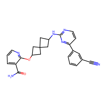 N#Cc1cccc(-c2ccnc(NC3CC4(C3)CC(Oc3ncccc3C(N)=O)C4)n2)c1